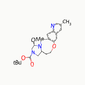 CO[C@@H]1CN(C(=O)OC(C)(C)C)CC2CCOc3cc4cc(C)cnc4cc3CN21